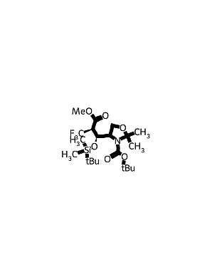 COC(=O)[C@@H]([C@@H](O[Si](C)(C)C(C)(C)C)C1COC(C)(C)N1C(=O)OC(C)(C)C)C(F)(F)F